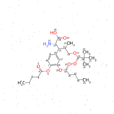 CCCCC(=O)Oc1ccc(C(C(C)COC(=O)C(C)(C)C)[C@H](N)C(=O)O)cc1OC(=O)CCCC